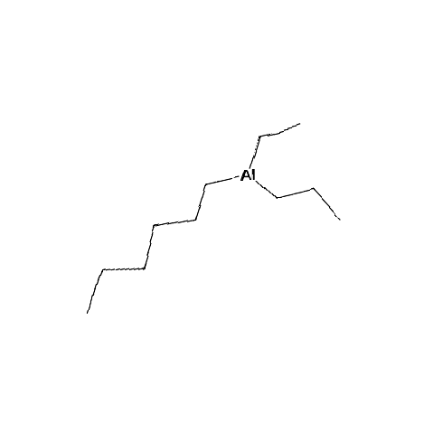 CCCCC[CH2][Al]([CH2]C)[CH2]CC